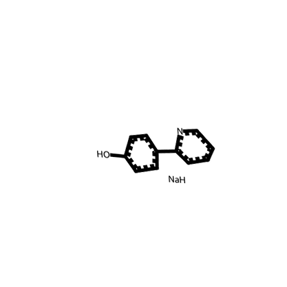 Oc1ccc(-c2ccccn2)cc1.[NaH]